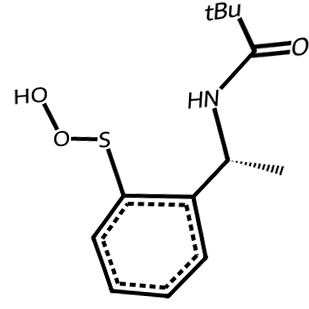 C[C@@H](NC(=O)C(C)(C)C)c1ccccc1SOO